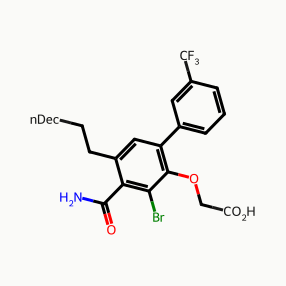 CCCCCCCCCCCCc1cc(-c2cccc(C(F)(F)F)c2)c(OCC(=O)O)c(Br)c1C(N)=O